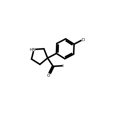 O=C(I)C1(c2ccc(Cl)cc2)CCNC1